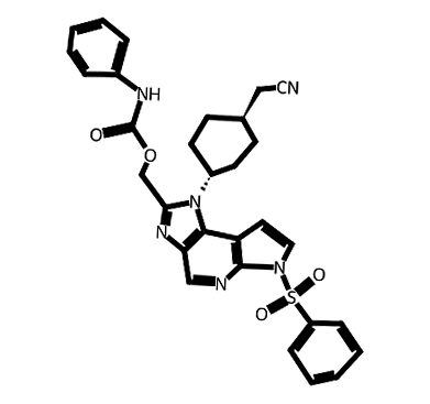 N#CC[C@H]1CC[C@H](n2c(COC(=O)Nc3ccccc3)nc3cnc4c(ccn4S(=O)(=O)c4ccccc4)c32)CC1